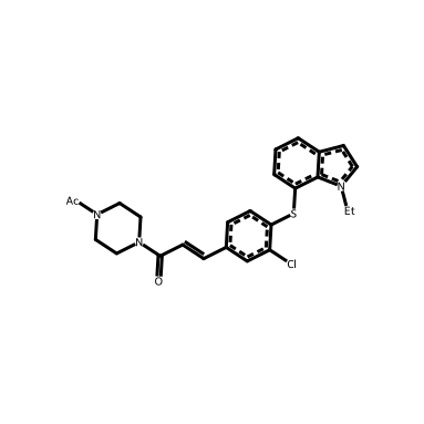 CCn1ccc2cccc(Sc3ccc(C=CC(=O)N4CCN(C(C)=O)CC4)cc3Cl)c21